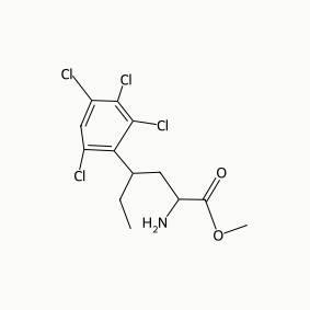 CCC(CC(N)C(=O)OC)c1c(Cl)cc(Cl)c(Cl)c1Cl